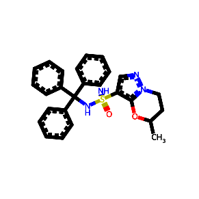 CC1CCn2ncc(S(=N)(=O)NC(c3ccccc3)(c3ccccc3)c3ccccc3)c2O1